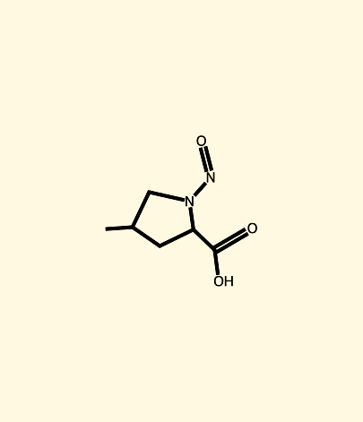 CC1CC(C(=O)O)N(N=O)C1